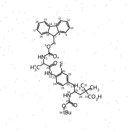 CC(NC(=O)OCC1c2ccccc2-c2ccccc21)C(=O)Nc1ccc(CC(CC(C)(C)C(=O)O)NC(=O)OC(C)(C)C)cc1F